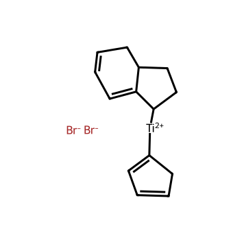 C1=CC[C]([Ti+2][CH]2CCC3CC=CC=C32)=C1.[Br-].[Br-]